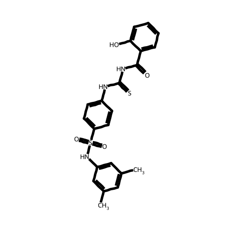 Cc1cc(C)cc(NS(=O)(=O)c2ccc(NC(=S)NC(=O)c3ccccc3O)cc2)c1